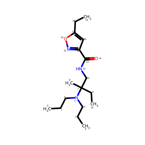 CCCN(CCC)C(C)(CC)CNC(=O)c1cc(CC)on1